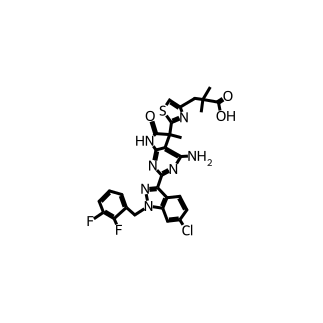 CC(C)(Cc1csc(C2(C)C(=O)Nc3nc(-c4nn(Cc5cccc(F)c5F)c5cc(Cl)ccc45)nc(N)c32)n1)C(=O)O